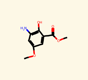 COC(=O)c1cc(OC)cc(N)c1O